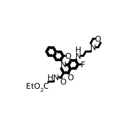 CCOC(=O)CCNC(=O)c1cn2c3c(c(NCCCN4CCOCC4)c(F)cc3c1=O)Oc1cc3ccccc3cc1-2